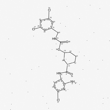 Nc1nc(Cl)ccc1NC(=O)C1CCCC(OC(=O)NCc2cc(Cl)cc(Cl)c2)C1